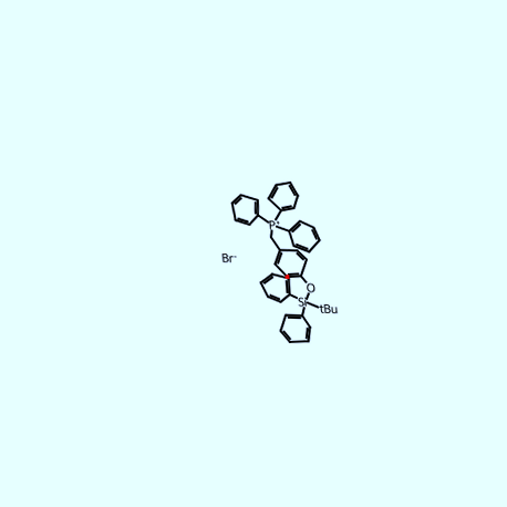 CC(C)(C)[Si](Oc1ccc(C[P+](c2ccccc2)(c2ccccc2)c2ccccc2)cc1)(c1ccccc1)c1ccccc1.[Br-]